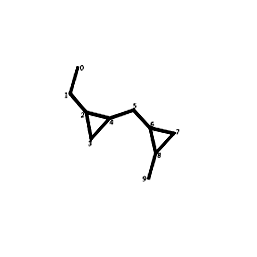 CCC1CC1CC1CC1C